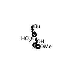 CCCCSCCN1CC[C@@H](CCC(O)c2ccnc3ccc(OC)cc23)[C@@H](C(=O)O)C1